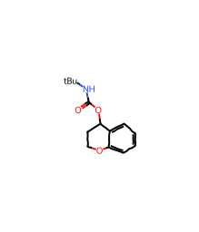 CC(C)(C)NC(=O)OC1CCOc2ccccc21